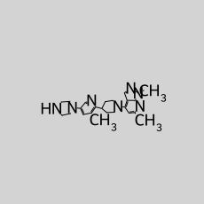 Cc1cc(N2CCC(c3ncc(N4CCNCC4)cc3C)CC2)c2cnn(C)c2n1